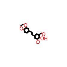 COc1cc(C=Cc2ccc3c(c2)OCCO3)cc(C=O)c1O